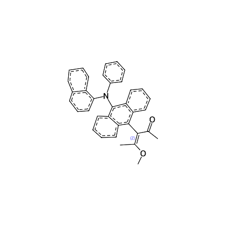 CO/C(C)=C(\C(C)=O)c1c2ccccc2c(N(c2ccccc2)c2cccc3ccccc23)c2ccccc12